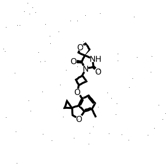 Cc1ccc(OC2CC(N3C(=O)N[C@]4(CCOC4)C3=O)C2)c2c1OCC21CC1